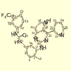 Cc1ccc(NC(=O)Nc2cccc(C(F)(F)F)c2)cc1Nc1nc(-c2cccnc2)c2[nH]ccc2n1